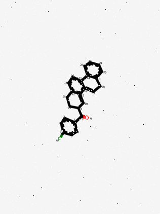 O=C(c1ccc(F)cc1)C1C=c2c(ccc3c2=CCc2ccccc2-3)CC1